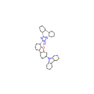 c1ccc(-c2ccccc2-c2n[nH]c(-c3cccc4c3oc3cc(-n5c6ccccc6c6ccccc65)ccc34)n2)cc1